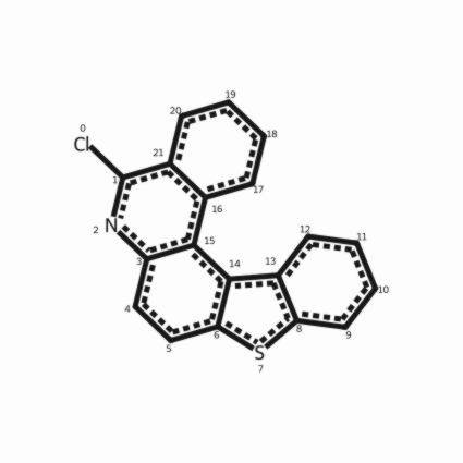 Clc1nc2ccc3sc4ccccc4c3c2c2ccccc12